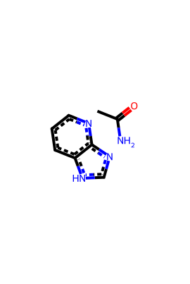 CC(N)=O.c1cnc2nc[nH]c2c1